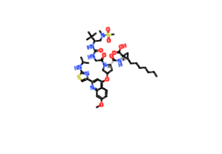 CCCCCCCC1C[C@]1(NC(=O)[C@@H]1CC(Oc2cc(-c3csc(NC(C)C)n3)nc3cc(OC)ccc23)CN1C(=O)CNC(=O)NC(CN(C)S(C)(=O)=O)C(C)(C)C)C(=O)O